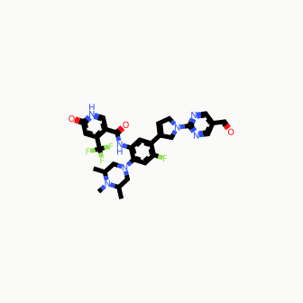 CC1CN(c2cc(F)c(C3=CCN(c4ncc(C=O)cn4)C3)cc2NC(=O)c2c[nH]c(=O)cc2C(F)(F)F)CC(C)N1C